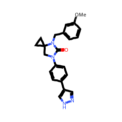 COc1cccc(CN2C(=O)N(c3ccc(-c4cn[nH]c4)cc3)CC23CC3)c1